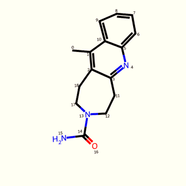 Cc1c2c(nc3ccccc13)CCN(C(N)=O)CC2